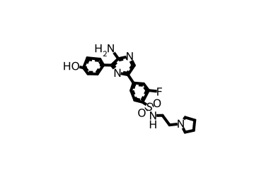 Nc1ncc(-c2ccc(S(=O)(=O)NCCN3CCCC3)c(F)c2)nc1-c1ccc(O)cc1